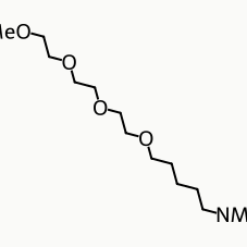 CNCCCCCOCCOCCOCCOC